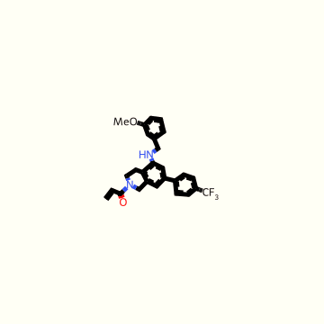 C=CC(=O)N1CCc2c(cc(-c3ccc(C(F)(F)F)cc3)cc2NCc2cccc(OC)c2)C1